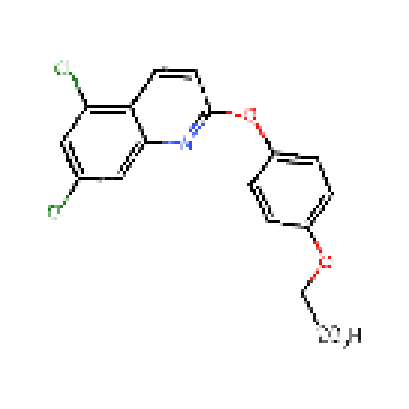 O=C(O)COc1ccc(Oc2ccc3c(Cl)cc(Cl)cc3n2)cc1